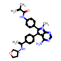 C=C(C)C(=O)Nc1ccc(-c2c(-c3ccc(C(=C)N[C@H]4CCOC4)cc3)c3c(N)ncnc3n2C)cc1